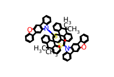 CC1(C)c2ccccc2C2(c3ccccc31)c1cc(-n3c4ccccc4c4cc5oc6ccccc6c5cc43)sc1C1(c3ccccc3C(C)(C)c3ccccc31)c1cc(-n3c4ccccc4c4cc5oc6ccccc6c5cc43)sc12